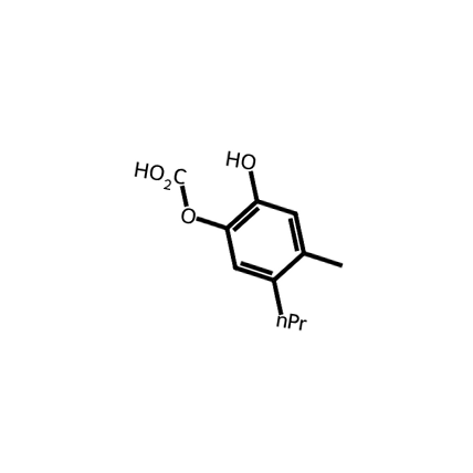 CCCc1cc(OC(=O)O)c(O)cc1C